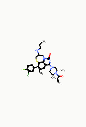 C=CC(=O)N1[C@H](C)CN(c2nc(=O)n3c4c(c(-c5ccc(F)c(Cl)c5)c(C)cc24)SCC(NCCC)C3)C[C@@H]1C